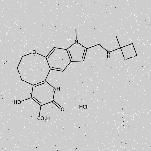 Cl.Cn1c(CNC2(C)CCC2)cc2cc3c(cc21)OCCCc1c-3[nH]c(=O)c(C(=O)O)c1O